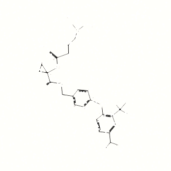 CC(O)c1ccc(Oc2ccc(CNC(=O)C3(NC(=O)CCCN(C)C)CC3)cc2)c(C(F)(F)F)c1